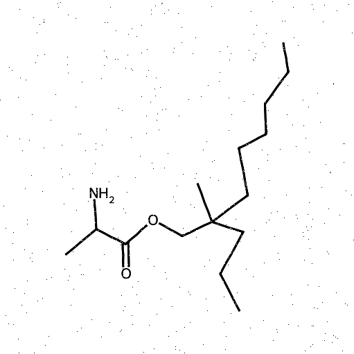 CCCCCCC(C)(CCC)COC(=O)C(C)N